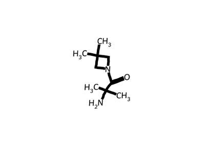 CC1(C)CN(C(=O)C(C)(C)N)C1